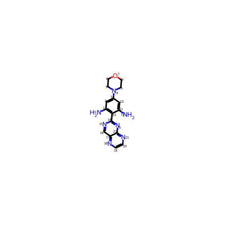 Nc1cc(N2CCOCC2)cc(N)c1-c1ncc2nccnc2n1